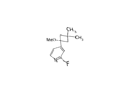 COC1(c2ccnc(F)c2)CC(C)(C)C1